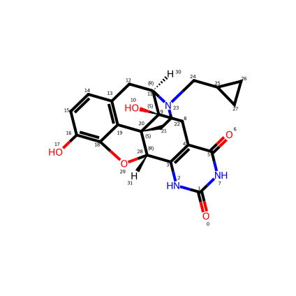 O=c1[nH]c2c(c(=O)[nH]1)C[C@@]1(O)[C@H]3Cc4ccc(O)c5c4[C@@]1(CCN3CC1CC1)[C@H]2O5